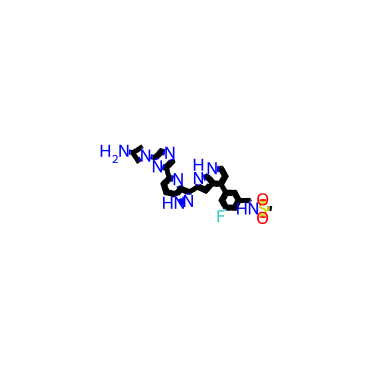 CS(=O)(=O)NCc1cc(F)cc(-c2ccnc3[nH]c(-c4n[nH]c5ccc(-c6cncc(N7CC(N)C7)n6)nc45)cc23)c1